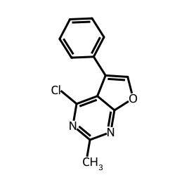 Cc1nc(Cl)c2c(-c3ccccc3)coc2n1